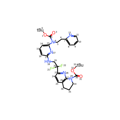 CC(C)(C)OC(=O)N(CCc1ccccn1)c1cccc(NCC(F)(F)c2ccc3c(n2)N(C(=O)OC(C)(C)C)CCC3)n1